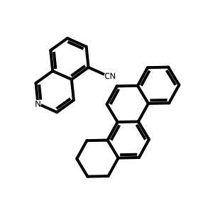 N#Cc1cccc2cnccc12.c1ccc2c(c1)ccc1c3c(ccc12)CCCC3